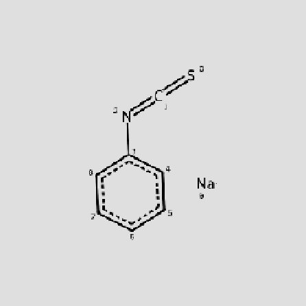 S=C=Nc1ccccc1.[Na]